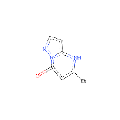 CCc1cc(=O)n2nccc2[nH]1